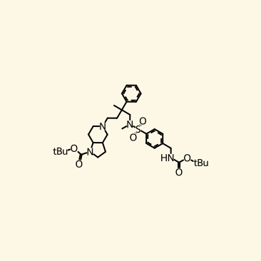 CN(CC(C)(CCN1CCC2C(CCN2C(=O)OC(C)(C)C)C1)c1ccccc1)S(=O)(=O)c1ccc(CNC(=O)OC(C)(C)C)cc1